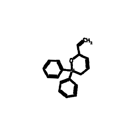 C=CC1C=CC[Si](c2ccccc2)(c2ccccc2)O1